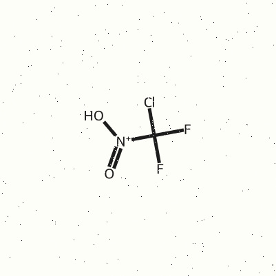 O=[N+](O)C(F)(F)Cl